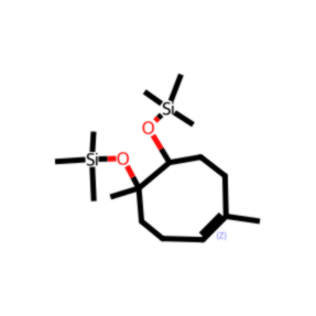 C/C1=C/CCC(C)(O[Si](C)(C)C)C(O[Si](C)(C)C)CC1